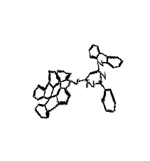 c1ccc(-c2nc(-n3c4ccccc4c4ccccc43)cc(-n3c4ccccc4c4c5c(ccc43)-c3ccccc3C53c4ccccc4-c4ccccc43)n2)cc1